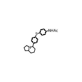 CC(=O)Nc1ccc(Sc2ccc(C3CCCC4CCCN43)cc2)cc1